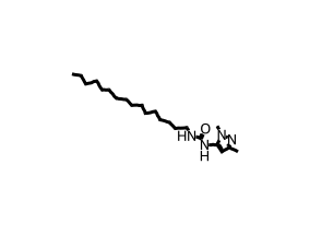 CCCCCCCCCCCCCCCCNC(=O)Nc1cc(C)nn1C